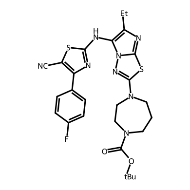 CCc1nc2sc(N3CCCN(C(=O)OC(C)(C)C)CC3)nn2c1Nc1nc(-c2ccc(F)cc2)c(C#N)s1